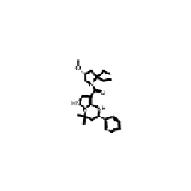 CCC1(CC)C[C@@H](OC)CN1C(=O)C1=C2N[C@@H](c3ccccc3)CC(C)(C)N2NC1